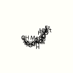 CCC(CC)NC(=O)Nc1ccc(Oc2ccc(NC(=O)c3ccc(OC4CCN(CCCO)CC4)cc3)cc2C)c(OC)c1